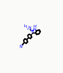 N#Cc1ccc(-c2ccc(C3c4ccccc4NN3CN)cc2)cc1